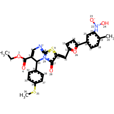 CCOC(=O)C1=CN=c2s/c(=C\c3ccc(-c4ccc(C)c([NH+]([O-])O)c4)o3)c(=O)n2C1c1ccc(SC)cc1